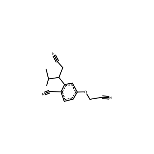 CC(C)C(CC#N)c1cc(OCC#N)ccc1C#N